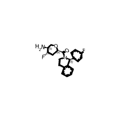 N[C@H]1CO[C@@H](C(=O)N2CCc3ccccc3[C@@H]2c2ccc(F)cc2)C[C@@H]1F